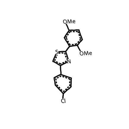 COc1ccc(OC)c(-c2nc(-c3ccc(Cl)cc3)cs2)c1